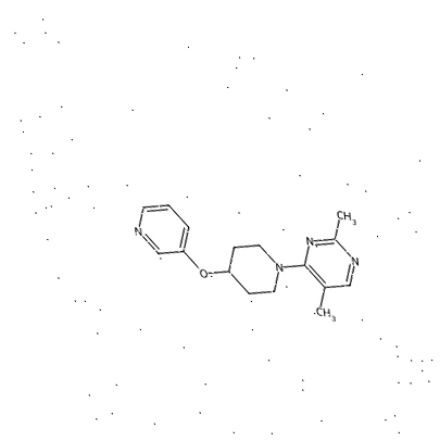 Cc1ncc(C)c(N2CCC(Oc3cccnc3)CC2)n1